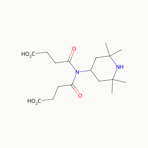 CC1(C)CC(N(C(=O)CCC(=O)O)C(=O)CCC(=O)O)CC(C)(C)N1